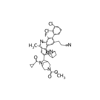 COC(=O)N1CC2CC(C1)N(C(=O)C1CC1)C2c1cc2c(C)nc3c(F)c(-c4cccc(Cl)c4Cl)c(CCC#N)cc3c2n1C1C2CNC1C2